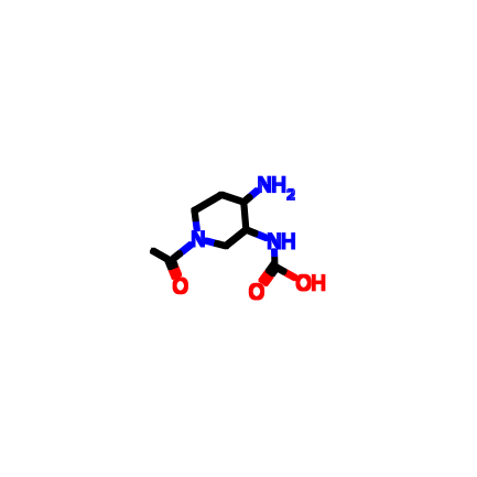 CC(=O)N1CCC(N)C(NC(=O)O)C1